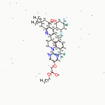 CCOC(=O)COc1cnc(N2CCC(c3nc4c(c(C5CCC(F)(F)CC5)c3[C@@H](F)c3ccc(C(F)(F)F)cc3)[C@@H](O)CC(C)(C)C4)CC2)nc1